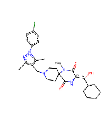 CCCCN1C(=O)[C@@H]([C@H](O)C2CCCCC2)NC(=O)C12CCN(Cc1c(C)nn(-c3ccc(F)cc3)c1C)CC2